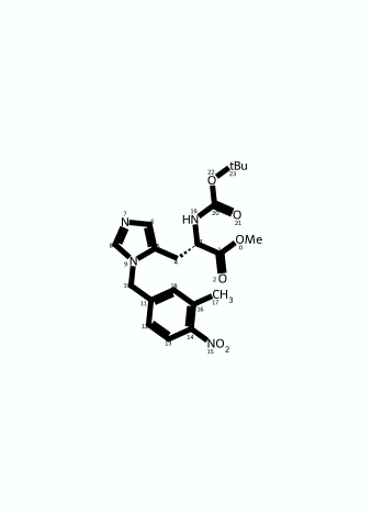 COC(=O)[C@H](Cc1cncn1Cc1ccc([N+](=O)[O-])c(C)c1)NC(=O)OC(C)(C)C